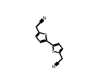 N#CCc1ccc(-c2ccc(CC#N)s2)s1